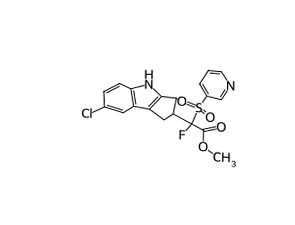 COC(=O)C(F)(C1Cc2[nH]c3ccc(Cl)cc3c2C1)S(=O)(=O)c1cccnc1